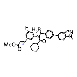 BC(c1ccc(-c2ccc3c(cnn3C)c2)cc1)N(C(=O)C1CCCCC1)c1cc(F)cc(/C=C/C(=O)OC)c1